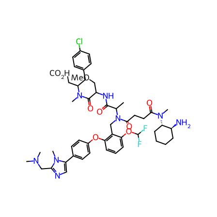 COCC(NC(=O)C(C)N(Cc1c(Oc2ccc(-c3cnc(CN(C)C)n3C)cc2)cccc1OC(F)F)C(=O)CCC(=O)N(C)[C@H]1CCCC[C@@H]1N)C(=O)N(C)C(CC(=O)O)Cc1ccc(Cl)cc1